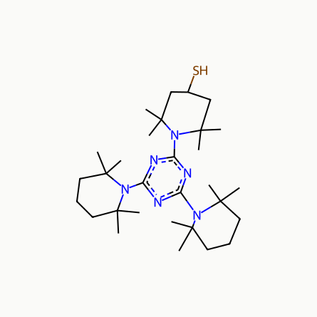 CC1(C)CCCC(C)(C)N1c1nc(N2C(C)(C)CCCC2(C)C)nc(N2C(C)(C)CC(S)CC2(C)C)n1